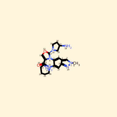 Cn1cc2cc(N3C(C(N)=O)=CO[C@H]3N3CCC(N)C3)c(N3CCCCC3)cc2n1